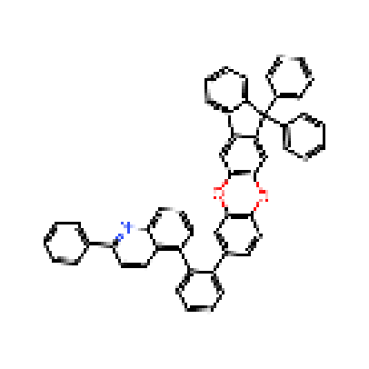 c1ccc(-c2ccc3c(-c4ccccc4-c4ccc5c(c4)Oc4cc6c(cc4O5)C(c4ccccc4)(c4ccccc4)c4ccccc4-6)cccc3n2)cc1